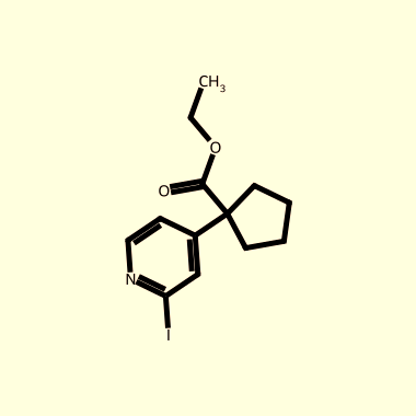 CCOC(=O)C1(c2ccnc(I)c2)CCCC1